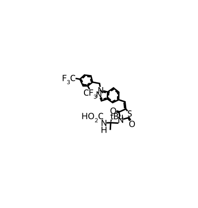 CC(C)(C)[C@](C)(CN1C(=O)SC(=Cc2ccc3c(cnn3Cc3ccc(C(F)(F)F)cc3C(F)(F)F)c2)C1=O)NC(=O)O